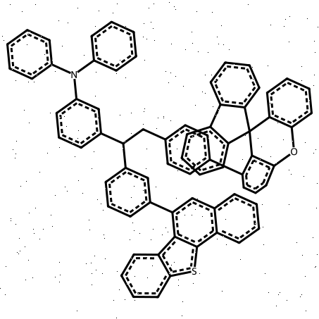 c1ccc(N(c2ccccc2)c2cccc(C(Cc3ccc(-c4cccc5c4C4(c6ccccc6O5)c5ccccc5-c5ccccc54)cc3)c3cccc(-c4cc5ccccc5c5sc6ccccc6c45)c3)c2)cc1